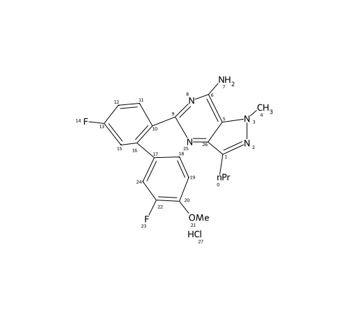 CCCc1nn(C)c2c(N)nc(-c3ccc(F)cc3-c3ccc(OC)c(F)c3)nc12.Cl